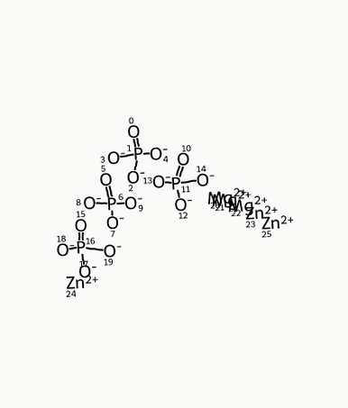 O=P([O-])([O-])[O-].O=P([O-])([O-])[O-].O=P([O-])([O-])[O-].O=P([O-])([O-])[O-].[Mg+2].[Mg+2].[Mg+2].[Zn+2].[Zn+2].[Zn+2]